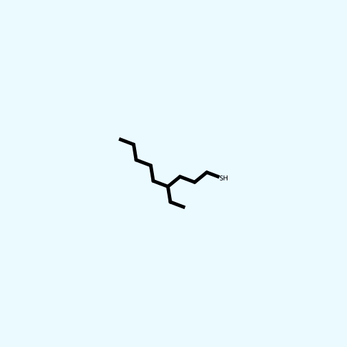 CCCCCC(CC)CCCS